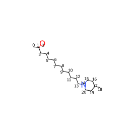 CC(=O)CCCCCCCCCCCN1CCC(C)CC1